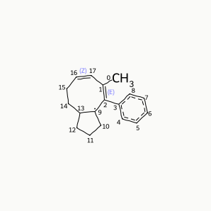 CC1=C(\c2ccccc2)[C]2CCCC2CC/C=C\1